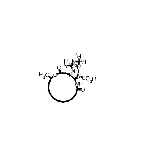 [2H]C([2H])([2H])/N=C(/N)NN1CC(=O)OC(C)CCCCCCCCCC(=O)NC1=NC(=O)O